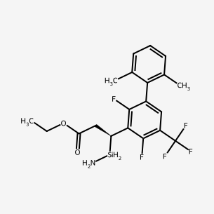 CCOC(=O)C[C@H]([SiH2]N)c1c(F)c(-c2c(C)cccc2C)cc(C(F)(F)F)c1F